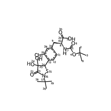 CC(C)(C)OC(=O)N[C@@H](Cc1ccc(C2SN(C(C)(C)C)C(=O)C2(O)O)c(Cl)c1)C(=O)O